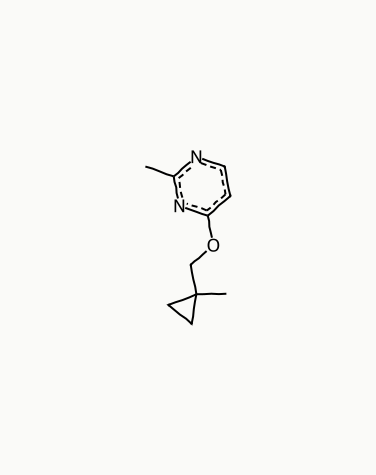 Cc1nccc(OCC2(C)CC2)n1